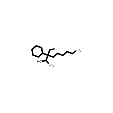 CCCCCCC(CO)(C(C)O)C1CCCCC1